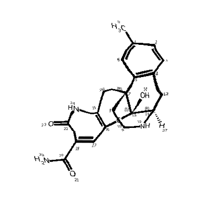 Cc1ccc2c(c1)[C@]13CCN[C@H](C2)[C@]1(O)Cc1cc(C(N)=O)c(=O)[nH]c1C3